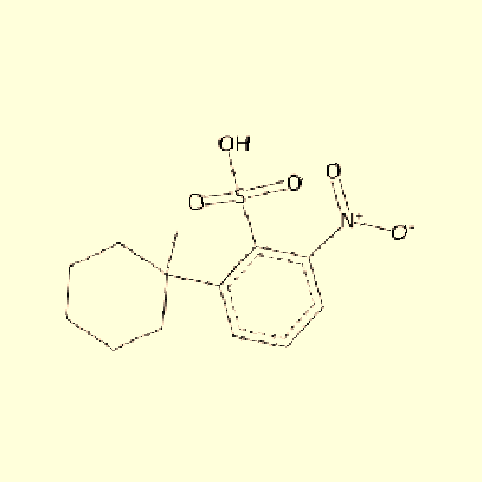 CC1(c2cccc([N+](=O)[O-])c2S(=O)(=O)O)CCCCC1